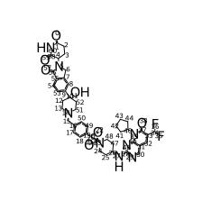 O=C1CCC(N2Cc3cc(C4(O)CCN(Cc5ccc(S(=O)(=O)N6CCC(Nc7ncc8cc(C(F)F)c(=O)n(C9CCCC9)c8n7)CC6)cc5)CC4)ccc3C2=O)C(=O)N1